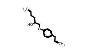 C=CC[CH]C(O)COc1ccc(CC=C)cc1